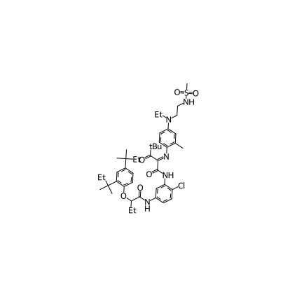 CCC(Oc1ccc(C(C)(C)CC)cc1C(C)(C)CC)C(=O)Nc1ccc(Cl)c(NC(=O)/C(=N/c2ccc(N(CC)CCNS(C)(=O)=O)cc2C)C(=O)C(C)(C)C)c1